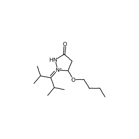 CCCCOC1CC(=O)N[N+]1=C(C(C)C)C(C)C